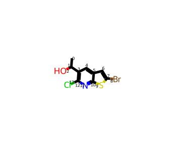 CC(O)c1cc2cc(Br)sc2nc1Cl